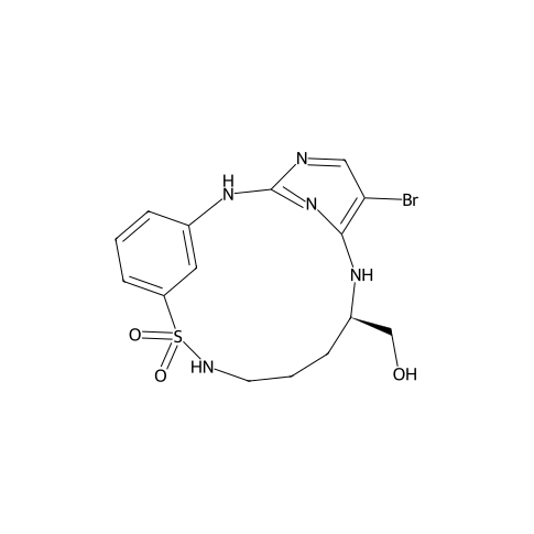 O=S1(=O)NCCC[C@H](CO)Nc2nc(ncc2Br)Nc2cccc1c2